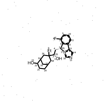 CCC1([C@@H](O)C[C@@H]2c3c(F)cccc3-c3cncn32)CC2CCC(O)C(C2)C1